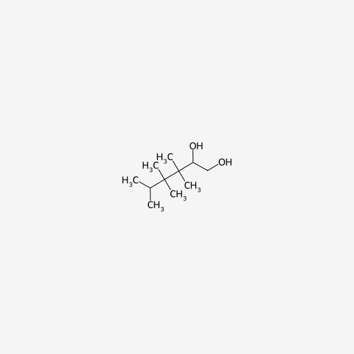 CC(C)C(C)(C)C(C)(C)C(O)CO